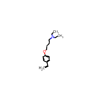 C=Cc1ccc(OCCCCN(CC)CC)cc1